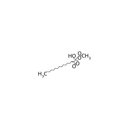 CCCCCCCCCCCCCC=C1C(=O)OCC1(CO)COC(C)=O